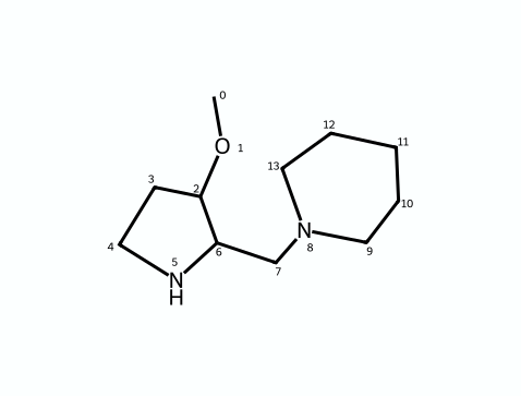 COC1CCNC1CN1CCCCC1